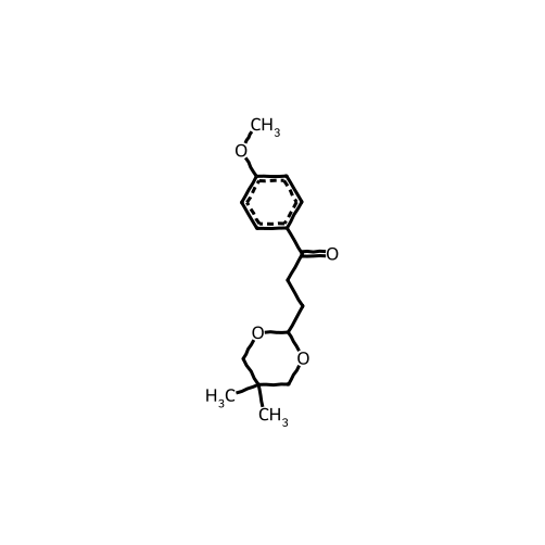 COc1ccc(C(=O)CCC2OCC(C)(C)CO2)cc1